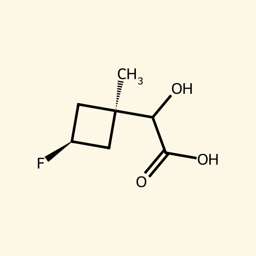 C[C@]1(C(O)C(=O)O)C[C@@H](F)C1